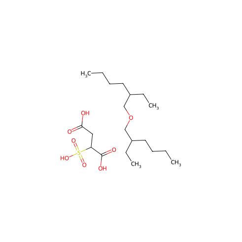 CCCCC(CC)COCC(CC)CCCC.O=C(O)CC(C(=O)O)S(=O)(=O)O